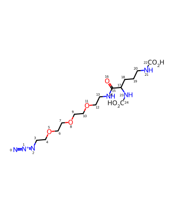 [N-]=[N+]=NCCOCCOCCOCCNC(=O)C(CCCNC(=O)O)NC(=O)O